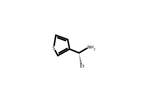 CC[C@@H](N)c1ccsc1